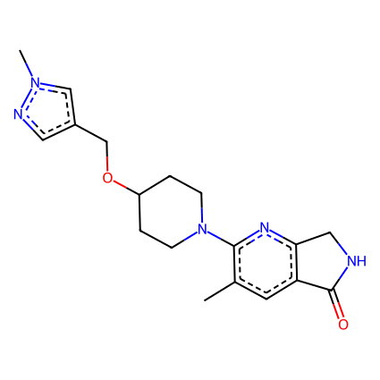 Cc1cc2c(nc1N1CCC(OCc3cnn(C)c3)CC1)CNC2=O